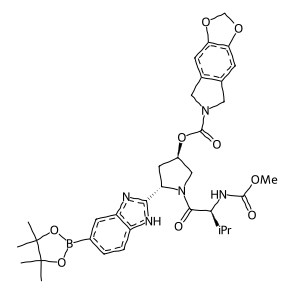 COC(=O)N[C@H](C(=O)N1C[C@H](OC(=O)N2Cc3cc4c(cc3C2)OCO4)C[C@H]1c1nc2cc(B3OC(C)(C)C(C)(C)O3)ccc2[nH]1)C(C)C